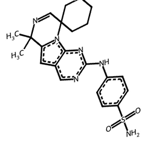 CC1(C)N=CC2(CCCCC2)n2c1cc1cnc(Nc3ccc(S(N)(=O)=O)cc3)nc12